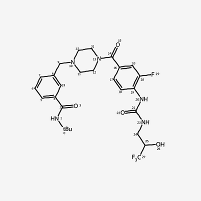 CC(C)(C)NC(=O)c1cccc(CN2CCN(C(=O)c3ccc(NC(=O)NCC(O)C(F)(F)F)c(F)c3)CC2)c1